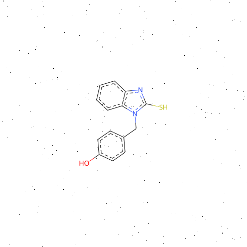 Oc1ccc(Cn2c(S)nc3ccccc32)cc1